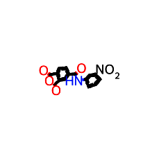 O=C(Nc1cccc([N+](=O)[O-])c1)c1ccc2c(c1)C(=O)OC2=O